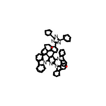 c1ccc(-c2nc(-c3ccccc3)nc(-c3ccc(-c4c(-c5cccc6ccccc56)c(-n5c6ccccc6c6ccccc65)nc(-n5c6ccccc6c6ccccc65)c4-n4c5ccccc5c5ccccc54)cc3)n2)cc1